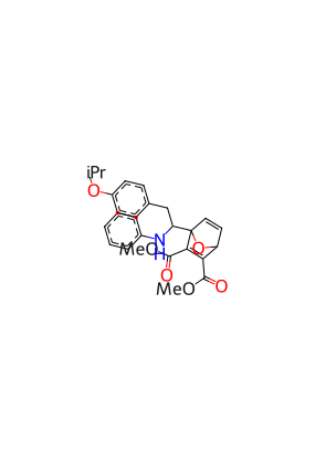 COC(=O)C1=C(C(=O)OC)C2(C(Cc3ccc(OC(C)C)cc3)Nc3ccccc3)C=CC1O2